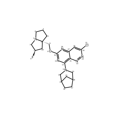 F[C@H]1CN2CCC[C@@]2(COc2nc(N3CC4CCC(C4)C3)c3nnc(Cl)cc3n2)C1